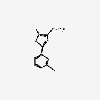 Cc1oc(-c2cccc(Br)c2)nc1CC(=O)O